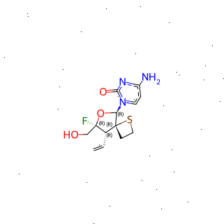 C=C[C@H]1[C@]2(CCS2)[C@H](n2ccc(N)nc2=O)O[C@]1(F)CO